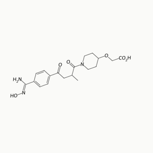 CC(CC(=O)c1ccc(/C(N)=N/O)cc1)C(=O)N1CCC(OCC(=O)O)CC1